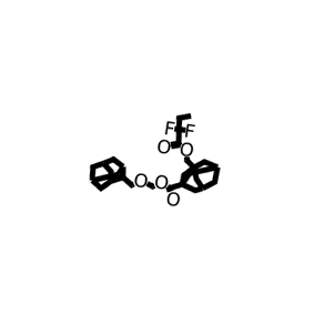 CCC(F)(F)C(=O)OCC12CC3CC(C1)CC(C(=O)OCOCC1C4CC5CC(C4)CC1C5)(C3)C2